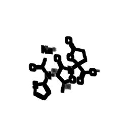 CC(=O)N(c1cccs1)[C@@H]1C(=O)N(C2(C(=O)[O-])CCC(=O)O2)O[C@H]1C.[Na+]